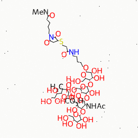 CNC(=O)CCCCCN1C(=O)CC(SCCC(=O)NCCCCCO[C@@H]2OC(CO)[C@@H](O[C@@H]3OC(CO)[C@H](O)[C@H](O[C@@H]4OC(CO[C@]5(C(=O)O)C[C@@H](O)[C@@H](C)C([C@H](O)[C@H](O)CO)O5)[C@@H](O)[C@H](O[C@@H]5OC(CO)[C@H](O)[C@H](O)C5O)C4NC(C)=O)C3O)[C@H](O)C2O)C1=O